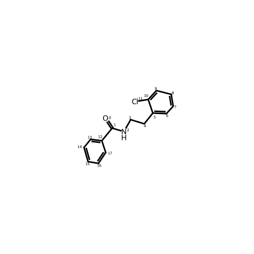 O=C(NCCc1ccccc1Cl)c1ccccc1